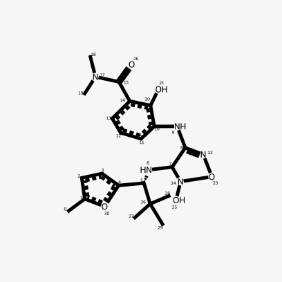 Cc1ccc([C@H](NC2C(Nc3cccc(C(=O)N(C)C)c3O)=NON2O)C(C)(C)C)o1